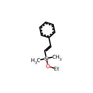 CCO[Si](C)(C)/C=C/c1ccccc1